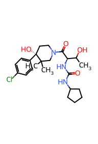 CC(O)[C@@H](NC(=O)NC1CCCC1)C(=O)N1CC[C@](O)(c2ccc(Cl)cc2)C(C)(C)C1